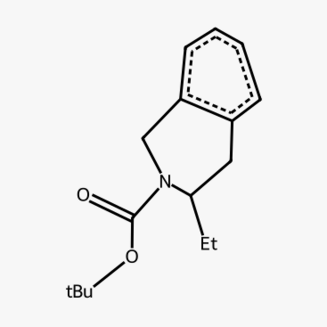 CCC1Cc2ccccc2CN1C(=O)OC(C)(C)C